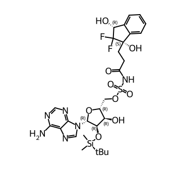 CC(C)(C)[Si](C)(C)O[C@@H]1[C@H](O)[C@@H](COS(=O)(=O)NC(=O)CC[C@]2(O)c3ccccc3[C@@H](O)C2(F)F)O[C@H]1n1cnc2c(N)ncnc21